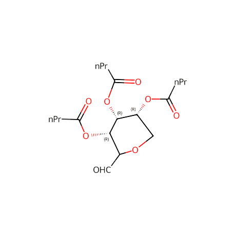 CCCC(=O)O[C@@H]1[C@H](OC(=O)CCC)COC(C=O)[C@@H]1OC(=O)CCC